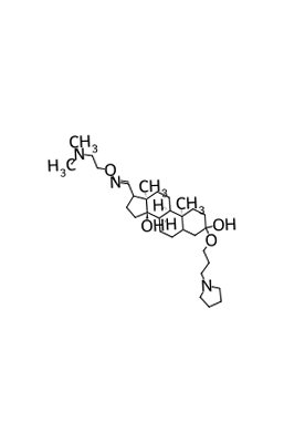 CN(C)CCO/N=C/C1CC[C@@]2(O)[C@@H]3CCC4CC(O)(OCCCN5CCCC5)CC[C@]4(C)[C@@H]3CC[C@]12C